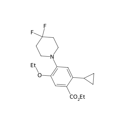 CCOC(=O)c1cc(OCC)c(N2CCC(F)(F)CC2)cc1C1CC1